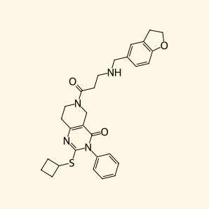 O=C(CCNCc1ccc2c(c1)CCO2)N1CCc2nc(SC3CCC3)n(-c3ccccc3)c(=O)c2C1